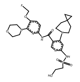 O=C(Nc1ccc(OCF)c(N2CCOCC2)n1)c1cnc(NS(=O)(=O)CCO)cc1N1CCC2(CC1)CC2